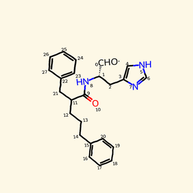 O=[C][C@H](Cc1c[nH]cn1)NC(=O)C(CCCc1ccccc1)Cc1ccccc1